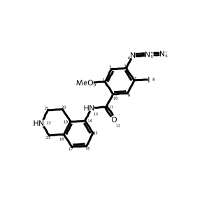 COc1cc(N=[N+]=[N-])c(I)cc1C(=O)Nc1cccc2c1CCNC2